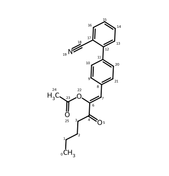 CCCCC(=O)C(=Cc1ccc(-c2ccccc2C#N)cc1)OC(C)=O